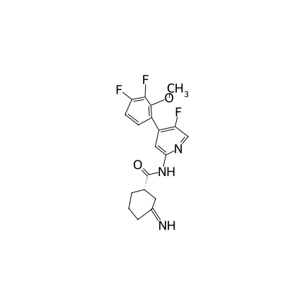 COc1c(-c2cc(NC(=O)[C@H]3CCCC(=N)C3)ncc2F)ccc(F)c1F